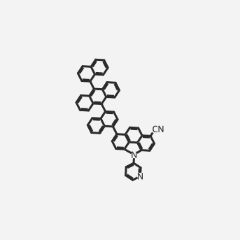 N#Cc1ccc2c3c1ccc1c(-c4ccc(-c5c6ccccc6c(-c6cccc7ccccc67)c6ccccc56)c5ccccc45)ccc(c13)n2-c1cccnc1